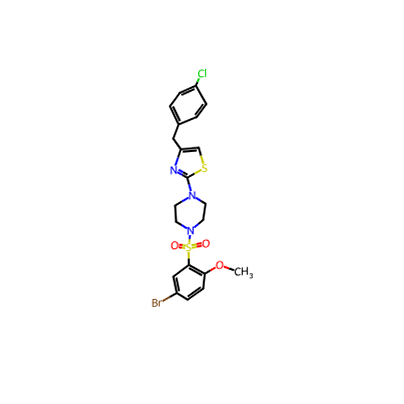 COc1ccc(Br)cc1S(=O)(=O)N1CCN(c2nc(Cc3ccc(Cl)cc3)cs2)CC1